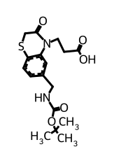 CC(C)(C)OC(=O)NCc1ccc2c(c1)N(CCC(=O)O)C(=O)CS2